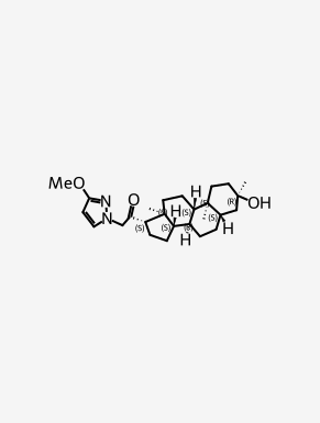 COc1ccn(CC(=O)[C@H]2CC[C@H]3[C@@H]4CC[C@H]5C[C@](C)(O)CC[C@]5(C)[C@H]4CC[C@]23C)n1